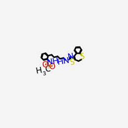 CS(=O)(=O)Nc1ccccc1CCCCCNc1nc2c(s1)CCSc1ccccc1-2